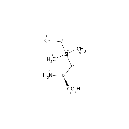 C[Si](C)(CCl)C[C@H](N)C(=O)O